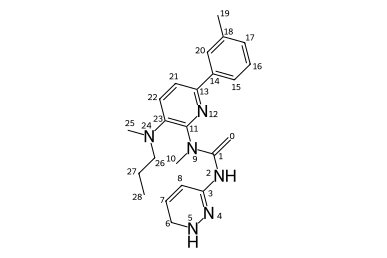 C=C(NC1=NNCC=C1)N(C)c1nc(-c2cccc(C)c2)ccc1N(C)CCC